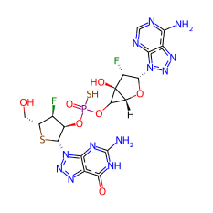 Nc1nc2c(nnn2[C@@H]2S[C@H](CO)[C@@H](F)[C@H]2OP(=O)(S)OC2[C@H]3O[C@@H](n4nnc5c(N)ncnc54)[C@@H](F)[C@@]23O)c(=O)[nH]1